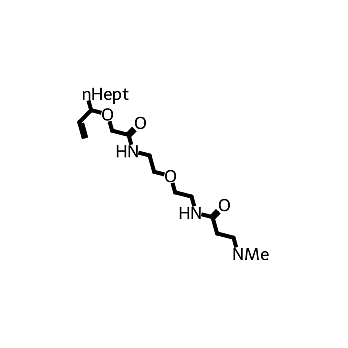 C=CC(CCCCCCC)OCC(=O)NCCOCCNC(=O)CCNC